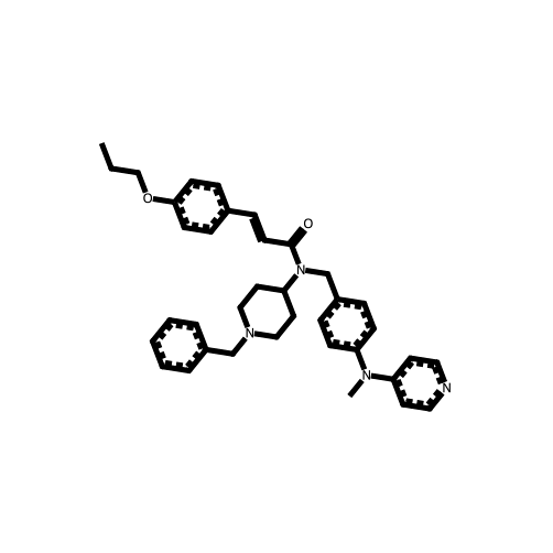 CCCOc1ccc(C=CC(=O)N(Cc2ccc(N(C)c3ccncc3)cc2)C2CCN(Cc3ccccc3)CC2)cc1